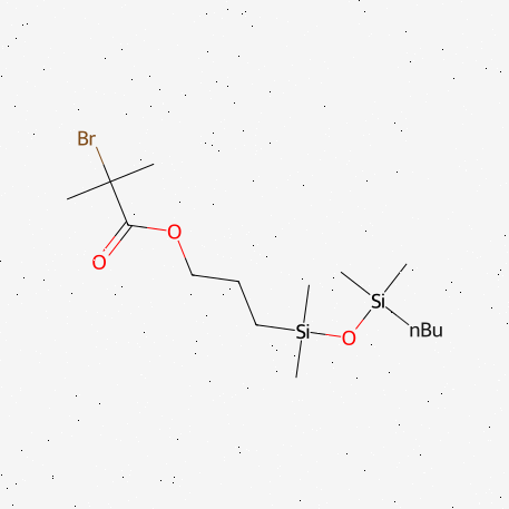 CCCC[Si](C)(C)O[Si](C)(C)CCCOC(=O)C(C)(C)Br